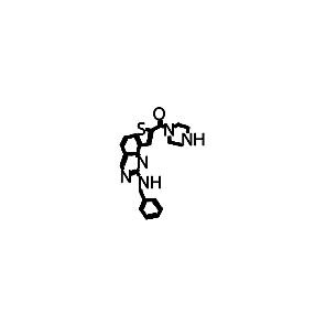 O=C(c1cc2c(ccc3cnc(NCc4ccccc4)nc32)s1)N1CCNCC1